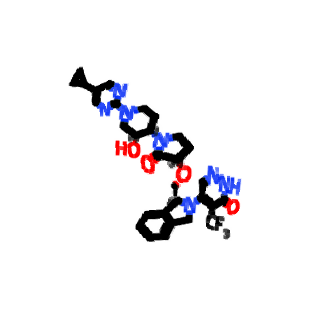 O=C1[C@H](OC[C@H]2c3ccccc3CN2c2cn[nH]c(=O)c2C(F)(F)F)CCN1[C@@H]1CCN(c2ncc(C3CC3)cn2)C[C@H]1O